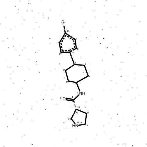 O=C(NC1CCC(c2ccc(F)cc2)CC1)[C@@H]1CCNC1